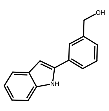 OCc1cccc(-c2cc3ccccc3[nH]2)c1